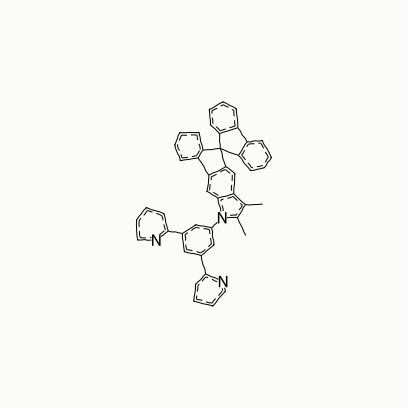 Cc1c(C)n(-c2cc(-c3ccccn3)cc(-c3ccccn3)c2)c2cc3c(cc12)C1(c2ccccc2-c2ccccc21)c1ccccc1-3